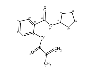 C=C(C)C(=O)Oc1ccccc1C(=O)OC1CCCC1